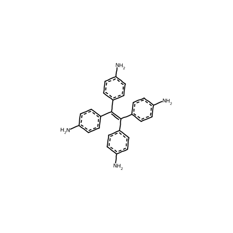 Nc1ccc(C(=C(c2ccc(N)cc2)c2ccc(N)cc2)c2ccc(N)cc2)cc1